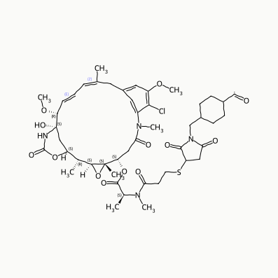 COc1cc2cc(c1Cl)N(C)C(=O)C[C@H](OC(=O)[C@H](C)N(C)C(=O)CCSC1CC(=O)N(CC3CCC([C]=O)CC3)C1=O)[C@]1(C)O[C@H]1[C@H](C)[C@@H]1C[C@@](O)(NC(=O)O1)[C@H](OC)/C=C/C=C(/C)C2